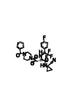 N#CC1(NC(=O)[C@H](CS(=O)(=O)N2CCN(C(=O)c3ccccc3)CC2)N[C@@H](c2ccc(F)cc2)C(F)(F)F)CC1